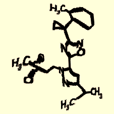 Cc1ccccc1C1(c2noc(-c3cc(C(C)C)nn3CCS(C)(=O)=O)n2)CC1